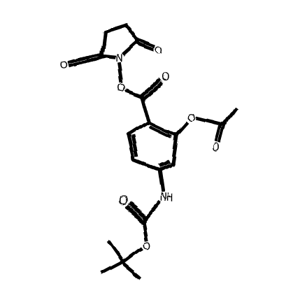 CC(=O)Oc1cc(NC(=O)OC(C)(C)C)ccc1C(=O)ON1C(=O)CCC1=O